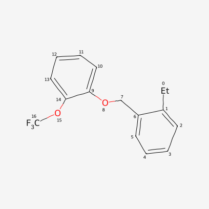 CCc1ccccc1COc1ccccc1OC(F)(F)F